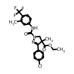 CCOC(=O)C1(C)CN(C(=O)Nc2ccc(C(F)(F)F)c(C)c2)N=C1c1ccc(Cl)cc1